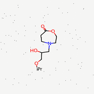 CC(C)OCC(O)CN1CCOC(=O)CC1